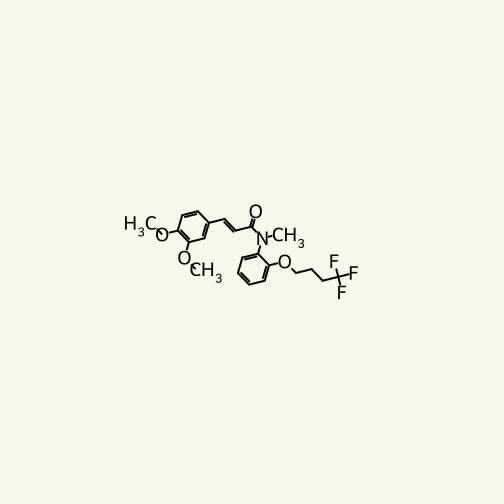 COc1ccc(/C=C/C(=O)N(C)c2ccccc2OCCCC(F)(F)F)cc1OC